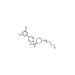 FCCC/C=C/[C@H]1CC[C@H](C2(C(F)(F)F)C=CC(c3cc(F)cc(F)c3)C=C2)CC1